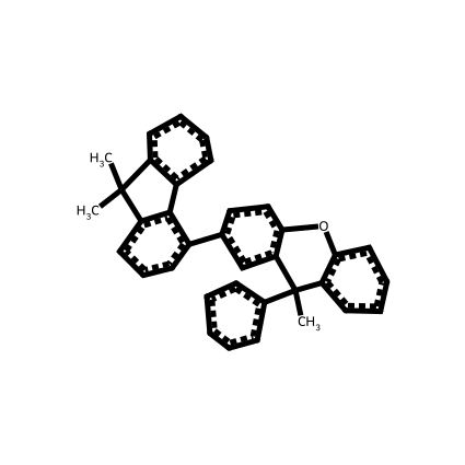 CC1(C)c2ccccc2-c2c(-c3ccc4c(c3)C(C)(c3ccccc3)c3ccccc3O4)cccc21